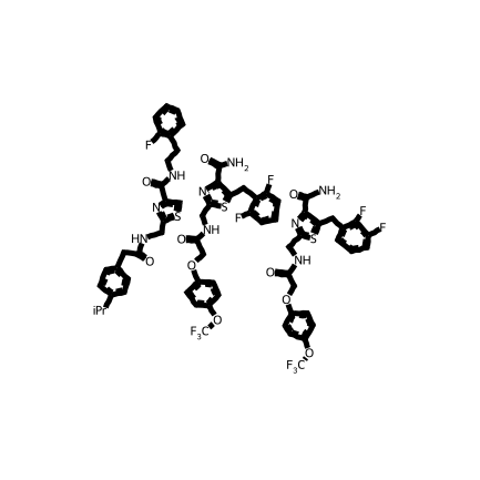 CC(C)c1ccc(CC(=O)NCc2nc(C(=O)NCCc3ccccc3F)cs2)cc1.NC(=O)c1nc(CNC(=O)COc2ccc(OC(F)(F)F)cc2)sc1Cc1c(F)cccc1F.NC(=O)c1nc(CNC(=O)COc2ccc(OC(F)(F)F)cc2)sc1Cc1cccc(F)c1F